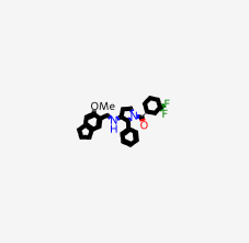 COc1cc2c(cc1CNC1CCN(C(=O)[C@@H]3CCCC(F)(F)C3)C1c1ccccc1)CCC2